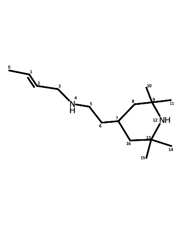 C/C=C/CNCCC1CC(C)(C)NC(C)(C)C1